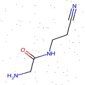 N#CCCNC(=O)CN